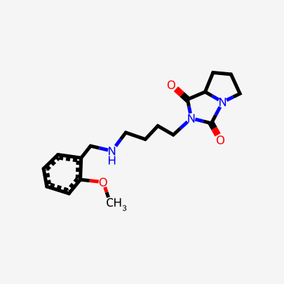 COc1ccccc1CNCCCCN1C(=O)C2CCCN2C1=O